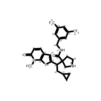 Cn1c(=O)ccc2cc(C(CC3CC3)C3(C(=O)NCc4cc(C(F)(F)F)cc(C(F)(F)F)c4)CCNC3)sc21